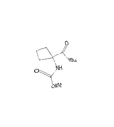 COC(=O)NC1(C(=O)C(C)(C)C)CCC1